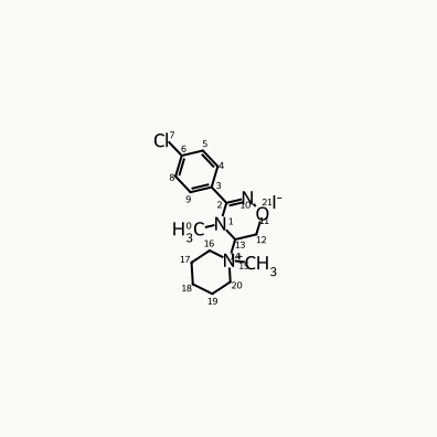 CN1C(c2ccc(Cl)cc2)=NOCC1[N+]1(C)CCCCC1.[I-]